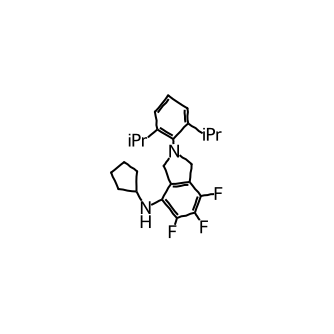 CC(C)c1cccc(C(C)C)c1N1Cc2c(F)c(F)c(F)c(NC3CCCC3)c2C1